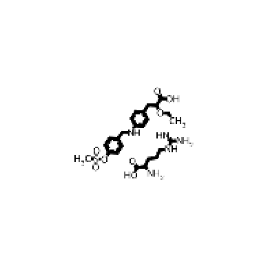 CCOC(Cc1ccc(NCc2ccc(OS(C)(=O)=O)cc2)cc1)C(=O)O.N=C(N)NCCCC(N)C(=O)O